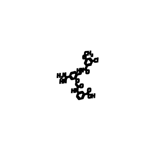 COc1cc(Cl)cc(C(=O)NCc2ccc(C(=N)N)cc2OCC(=O)Nc2cccc(C(=O)O)c2)c1